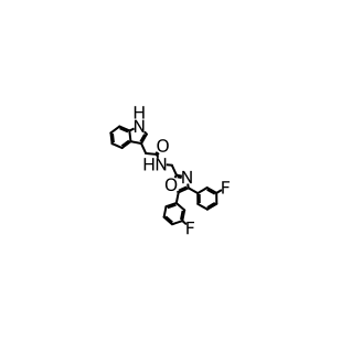 O=C(Cc1c[nH]c2ccccc12)NCc1nc(-c2cccc(F)c2)c(-c2cccc(F)c2)o1